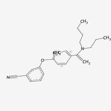 C=C(/C=C\C(=C/C)C(=C)N(CCC)CCCC)Oc1cccc(C#N)c1